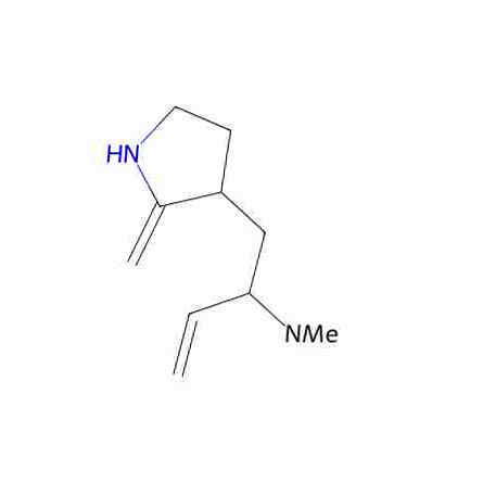 C=CC(CC1CCNC1=C)NC